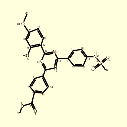 COC(=O)c1ccc(-c2nc(-c3ccc(NS(C)(=O)=O)cc3)nc(-c3ccc(OC)cc3O)n2)cc1